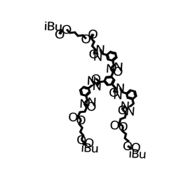 CCC(C)C(=O)OCCCCOC(=O)CCc1nc(Cc2cccc(-c3noc(-c4cc(-c5nc(-c6cccc(-c7noc(CCC(=O)OCCCCOC(=O)C(C)CC)n7)c6)no5)cc(-c5nc(-c6cccc(-c7noc(CCC(=O)OCCCCOC(=O)C(C)CC)n7)c6)no5)c4)n3)c2)no1